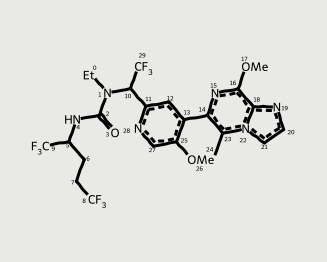 CCN(C(=O)NC(CCC(F)(F)F)C(F)(F)F)C(c1cc(-c2nc(OC)c3nccn3c2C)c(OC)cn1)C(F)(F)F